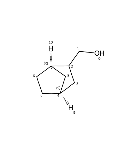 OCC1C[C@H]2CC[C@@H]1C2